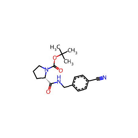 CC(C)(C)OC(=O)N1CCC[C@H]1C(=O)NCc1ccc(C#N)cc1